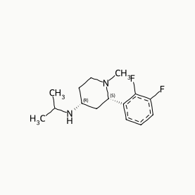 CC(C)N[C@@H]1CCN(C)[C@H](c2cccc(F)c2F)C1